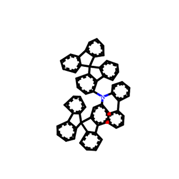 c1ccc(-c2ccccc2N(c2ccc3c(c2)C2(c4ccccc4-c4ccccc42)c2ccccc2-3)c2cccc3c2-c2ccccc2C32c3ccccc3-c3ccccc32)cc1